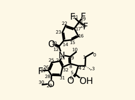 CC[C@H](C)C(C(=O)O)c1c(C)n(C(=O)c2ccc(C(F)(F)F)cc2)c2cc(F)c(OC)cc12